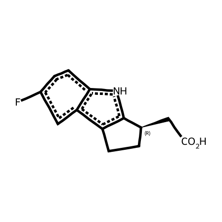 O=C(O)C[C@H]1CCc2c1[nH]c1ccc(F)cc21